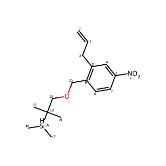 C=CCc1cc([N+](=O)[O-])ccc1COCC(C)(C)[SiH](C)C